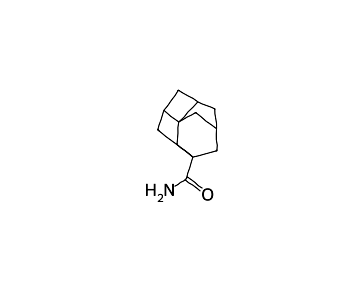 NC(=O)C12CC3CC4CC(C1)C4(C3)C2